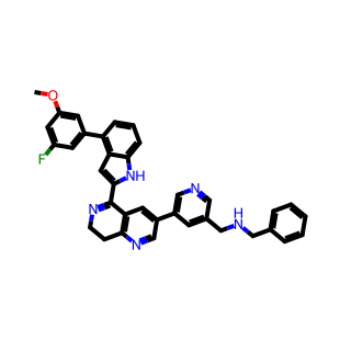 COc1cc(F)cc(-c2cccc3[nH]c(C4=NCCc5ncc(-c6cncc(CNCc7ccccc7)c6)cc54)cc23)c1